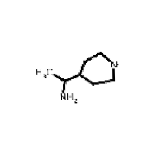 CC(N)C1CC[N]CC1